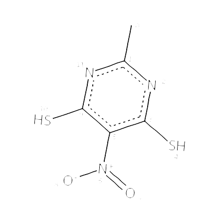 Cc1nc(S)c([N+](=O)[O-])c(S)n1